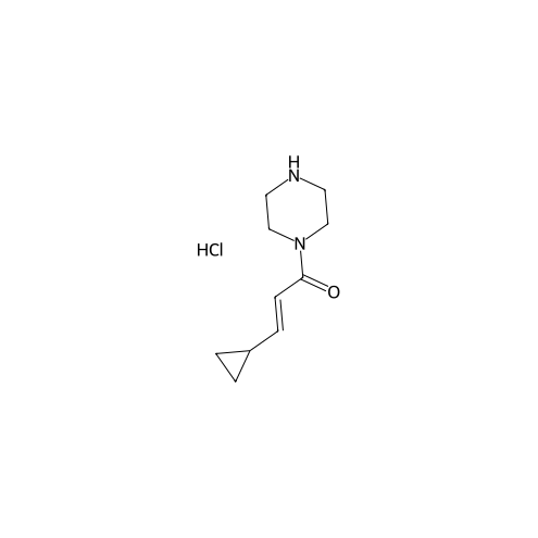 Cl.O=C(C=CC1CC1)N1CCNCC1